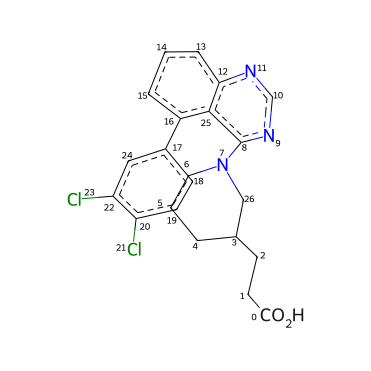 O=C(O)CCC1CCCN(c2ncnc3cccc(-c4ccc(Cl)c(Cl)c4)c23)C1